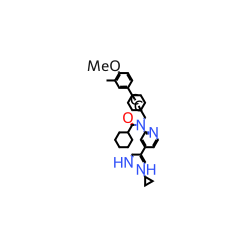 COc1ccc(C23CCC(CN(C(=O)C4CCCCC4)c4cc(/C(C=N)=C/NC5CC5)ccn4)(CC2)CC3)cc1C